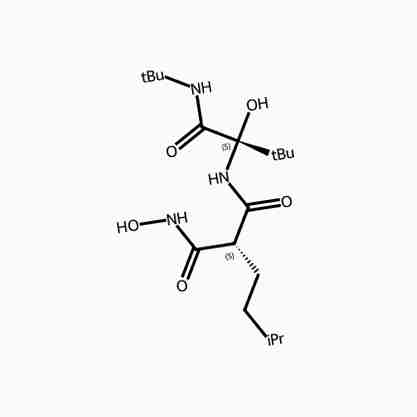 CC(C)CC[C@H](C(=O)NO)C(=O)N[C@@](O)(C(=O)NC(C)(C)C)C(C)(C)C